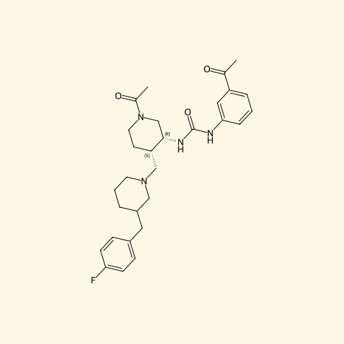 CC(=O)c1cccc(NC(=O)N[C@H]2CN(C(C)=O)CC[C@H]2CN2CCCC(Cc3ccc(F)cc3)C2)c1